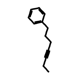 CCC#CC[CH]Cc1ccccc1